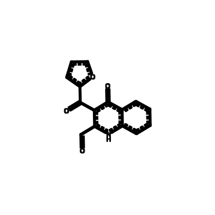 O=Cc1[nH]c2ccccc2c(=O)c1C(=O)c1ccco1